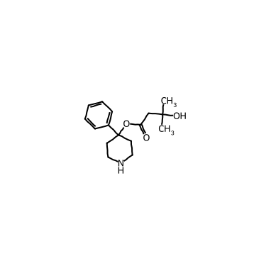 CC(C)(O)CC(=O)OC1(c2ccccc2)CCNCC1